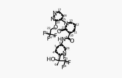 C[C@@](O)(c1ccc(NC(=O)c2cccn(-c3ccnnc3OCC(F)(F)F)c2=O)cn1)C(F)(F)F